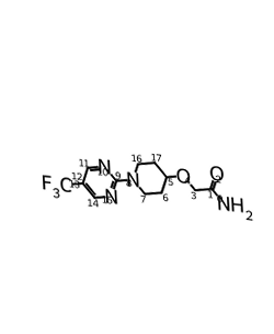 NC(=O)COC1CCN(c2ncc(C(F)(F)F)cn2)CC1